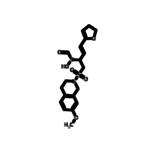 COc1ccc2c(c1)CN(S(=O)(=O)CC(/C=C/C1=CCCO1)N(O)C=O)CC2